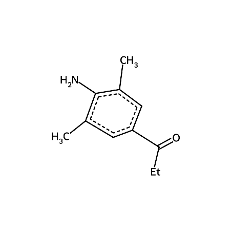 CCC(=O)c1cc(C)c(N)c(C)c1